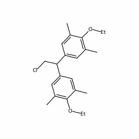 CCOc1c(C)cc(C(CCl)c2cc(C)c(OCC)c(C)c2)cc1C